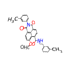 Cc1cccc(CCNC(=O)c2ccc3c4c(ccc(OC=O)c24)C(=O)N(c2cccc(C)c2)C3=O)c1